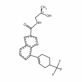 C[C@@H](O)CNC(=O)c1cnc2c(C3=CCC(C(F)(F)F)CC3)cccc2c1